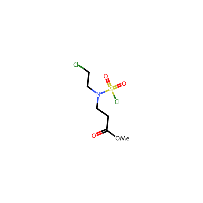 COC(=O)CCN(CCCl)S(=O)(=O)Cl